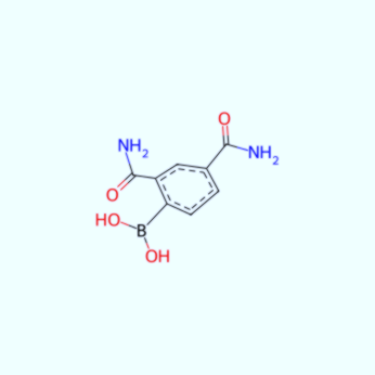 NC(=O)c1ccc(B(O)O)c(C(N)=O)c1